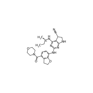 CC[C@@H](C)Nc1nc(Nc2ccc(C(=O)N3CCOCC3)c3c2OCC3)nc2c1C(C#N)CN2